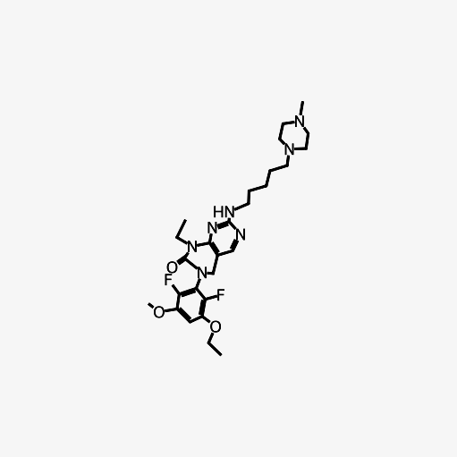 CCOc1cc(OC)c(F)c(N2Cc3cnc(NCCCCCN4CCN(C)CC4)nc3N(CC)C2=O)c1F